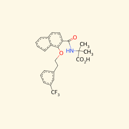 CC(C)(NC(=O)c1ccc2ccccc2c1OCCc1cccc(C(F)(F)F)c1)C(=O)O